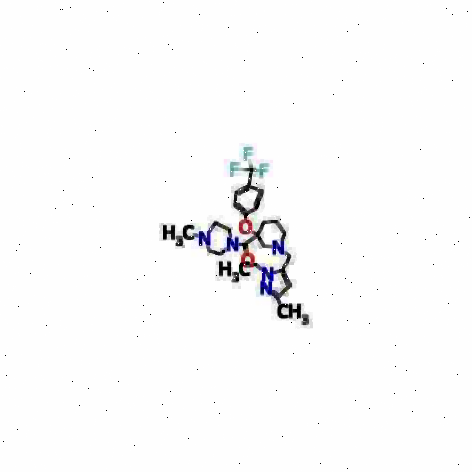 CCn1nc(C)cc1CN1CCCC(Oc2ccc(C(F)(F)F)cc2)(C(=O)N2CCN(C)CC2)C1